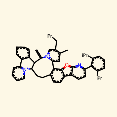 C=C1C2c3ccccc3-c3cccc[n+]3C2CCc2ccc3c(oc4nc(-c5c(C(C)C)cccc5C(C)C)ccc43)c2-c2cc(C)c(CC(C)C)c[n+]21